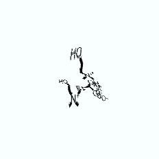 CC(=O)[O-].CCC(O)C(=O)[O-].C[N+](C)(C)CCO.C[N+](C)(C)CCO